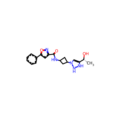 C[C@@H](O)C1=CN(C2CC(NC(=O)c3cc(-c4ccccc4)on3)C2)NN1